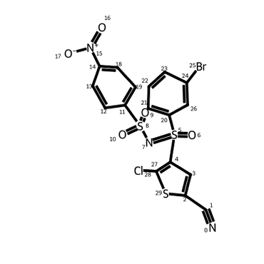 N#Cc1cc(S(=O)(=NS(=O)(=O)c2ccc([N+](=O)[O-])cc2)c2cccc(Br)c2)c(Cl)s1